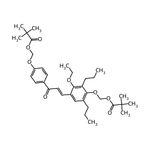 CCCc1cc(C=CC(=O)c2ccc(OCOC(=O)C(C)(C)C)cc2)c(OCC)c(CCC)c1OCOC(=O)C(C)(C)C